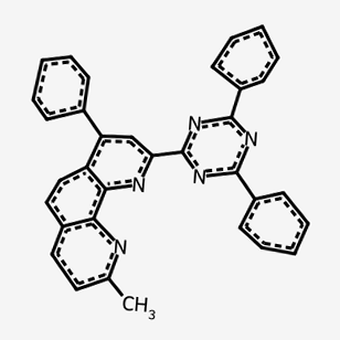 Cc1ccc2ccc3c(-c4ccccc4)cc(-c4nc(-c5ccccc5)nc(-c5ccccc5)n4)nc3c2n1